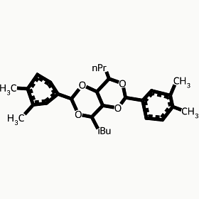 CCCC1OC(c2ccc(C)c(C)c2)OC2C(C(C)CC)OC(c3ccc(C)c(C)c3)OC12